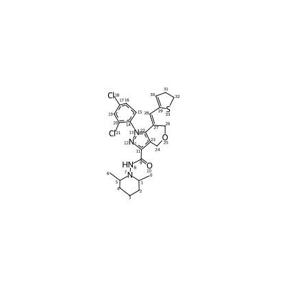 CC1CCCC(C)N1NC(=O)c1nn(-c2ccc(Cl)cc2Cl)c2c1COC/C2=C\C1=CCCS1